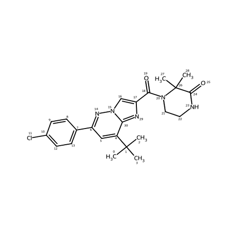 CC(C)(C)c1cc(-c2ccc(Cl)cc2)nn2cc(C(=O)N3CCNC(=O)C3(C)C)nc12